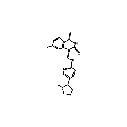 CN1CCCC1c1ccc(N/C=C2\C(=O)NC(=O)c3ccc(I)cc32)nc1